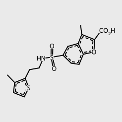 Cc1ccsc1CCNS(=O)(=O)c1ccc2oc(C(=O)O)c(C)c2c1